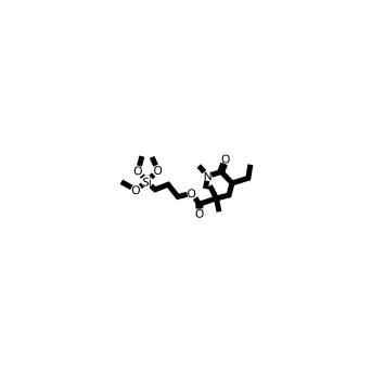 CCC(CC(C)(C)C(=O)OCCC[Si](OC)(OC)OC)C(=O)N(C)C